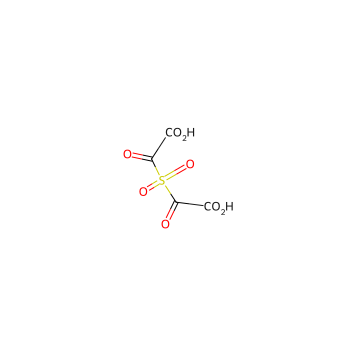 O=C(O)C(=O)S(=O)(=O)C(=O)C(=O)O